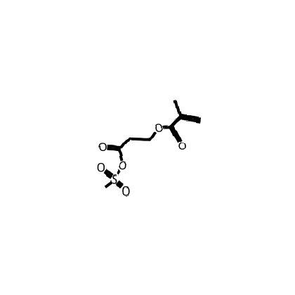 C=C(C)C(=O)OCCC(=O)OS(C)(=O)=O